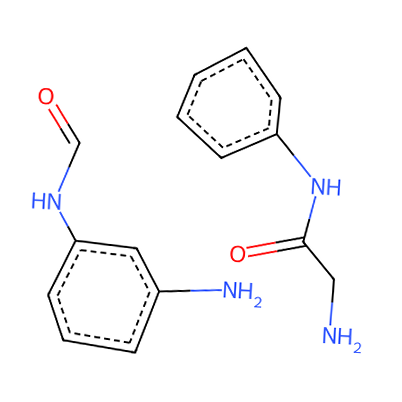 NCC(=O)Nc1ccccc1.Nc1cccc(NC=O)c1